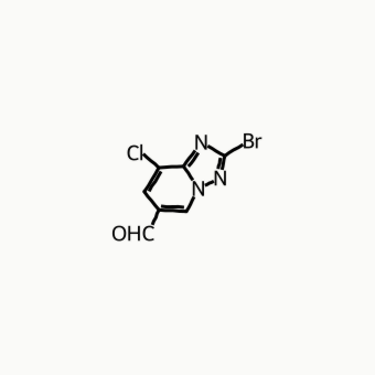 O=Cc1cc(Cl)c2nc(Br)nn2c1